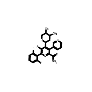 NC(=O)c1nc(-c2c(F)cccc2F)c(F)c(C2CC(O)C(O)CO2)c1-c1cccnc1